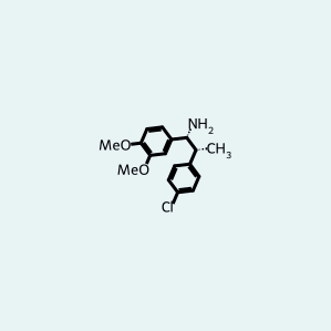 COc1ccc([C@H](N)[C@H](C)c2ccc(Cl)cc2)cc1OC